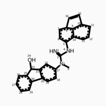 CN(C(=N)Nc1ccc2c3c(cccc13)C=C2)c1ccc2c(c1)C(O)c1ccccc1-2